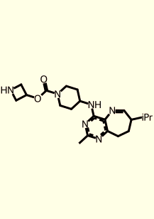 Cc1nc2c(c(NC3CCN(C(=O)OC4CNC4)CC3)n1)N=CC(C(C)C)CC2